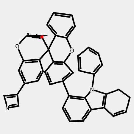 C1=Cc2c(n(-c3ccccc3)c3c(-c4ccc5c(c4)Oc4ccccc4C54c5ccccc5Oc5cc(C6=CN=C6)ccc54)cccc23)CC1